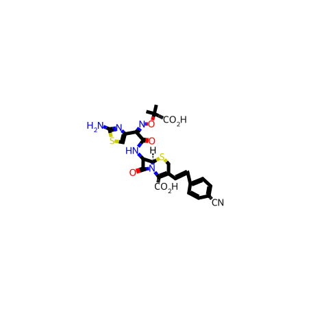 CC(C)(O/N=C(\C(=O)NC1C(=O)N2C(C(=O)O)=C(/C=C/c3ccc(C#N)cc3)CS[C@H]12)c1csc(N)n1)C(=O)O